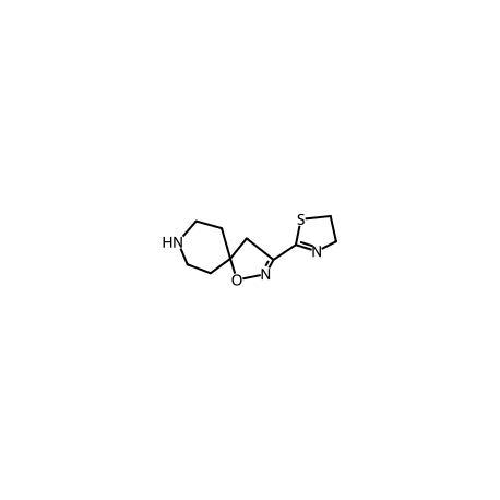 C1CSC(C2=NOC3(CCNCC3)C2)=N1